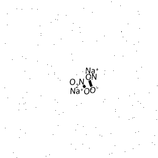 O=N[O-].O=[N+]([O-])[O-].[Na+].[Na+]